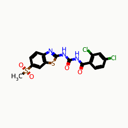 CS(=O)(=O)c1ccc2nc(NC(=O)NC(=O)c3ccc(Cl)cc3Cl)sc2c1